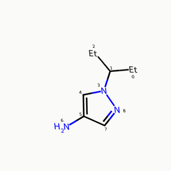 CCC(CC)n1cc(N)cn1